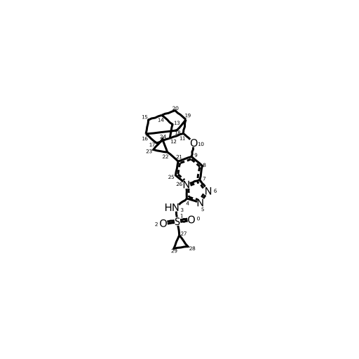 O=S(=O)(Nc1nnc2cc(OC3C4CC5CC(C4)CC3C5)c(C3CC3)cn12)C1CC1